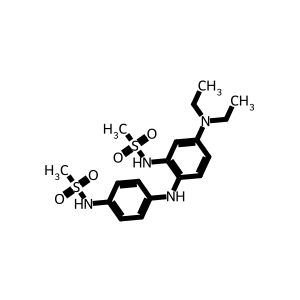 CCN(CC)c1ccc(Nc2ccc(NS(C)(=O)=O)cc2)c(NS(C)(=O)=O)c1